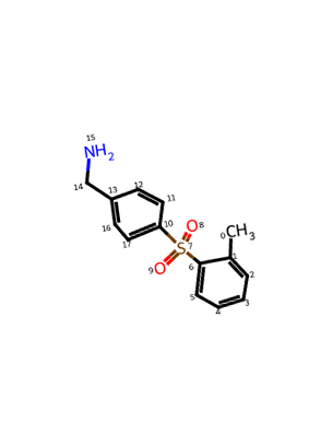 Cc1ccccc1S(=O)(=O)c1ccc(CN)cc1